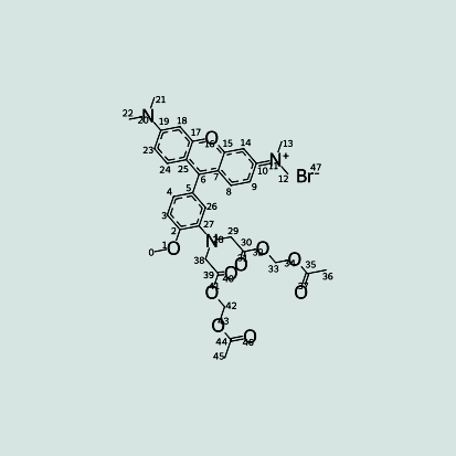 COc1ccc(-c2c3ccc(=[N+](C)C)cc-3oc3cc(N(C)C)ccc23)cc1N(CC(=O)OCOC(C)=O)CC(=O)OCOC(C)=O.[Br-]